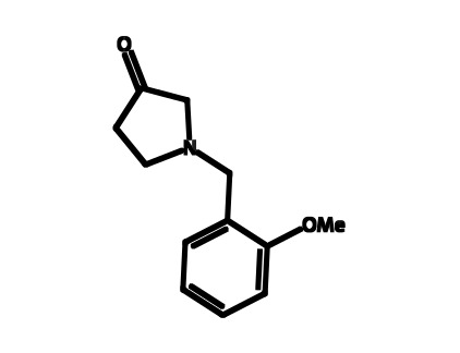 COc1ccccc1CN1CCC(=O)C1